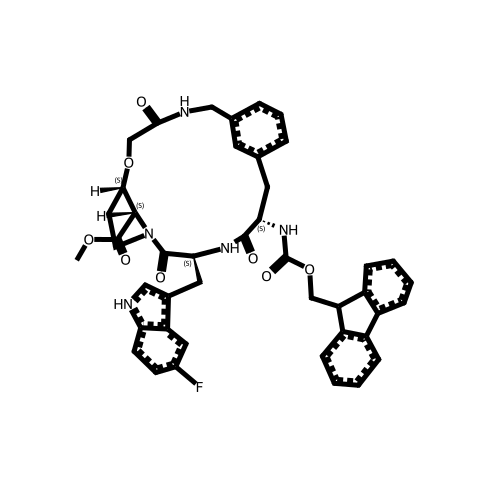 COC(=O)[C@@H]1[C@@H]2CCN1C(=O)[C@H](Cc1c[nH]c3ccc(F)cc13)NC(=O)[C@@H](NC(=O)OCC1c3ccccc3-c3ccccc31)Cc1cccc(c1)CNC(=O)CO2